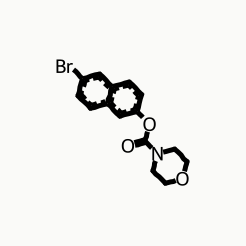 O=C(Oc1ccc2cc(Br)ccc2c1)N1CCOCC1